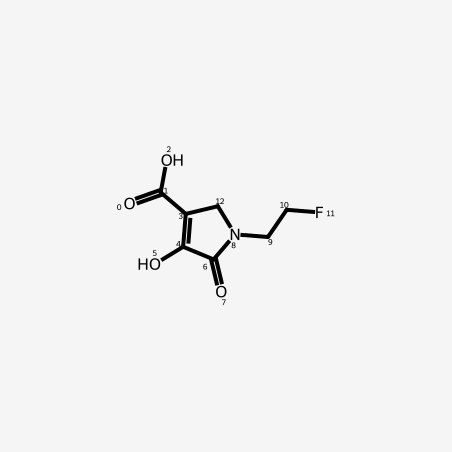 O=C(O)C1=C(O)C(=O)N(CCF)C1